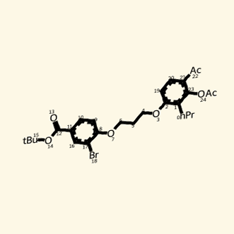 CCCc1c(OCCCOc2ccc(C(=O)OC(C)(C)C)cc2Br)ccc(C(C)=O)c1OC(C)=O